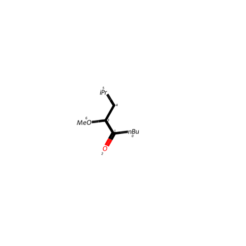 CCCCC(=O)C(CC(C)C)OC